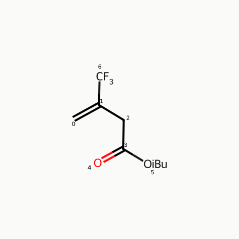 C=C(CC(=O)OCC(C)C)C(F)(F)F